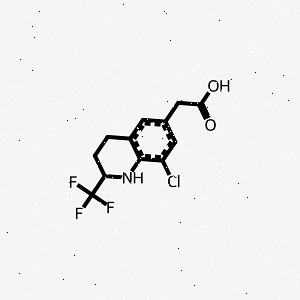 O=C(O)Cc1cc(Cl)c2c(c1)CCC(C(F)(F)F)N2